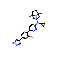 C[C@]12CC[C@](C)(C[C@@H](N(c3ccc(-c4ccc(-c5cn[nH]c5)cc4O)nn3)C3CC3)C1)N2